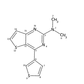 CN(C)c1nc(-c2ccsc2)c2sccc2n1